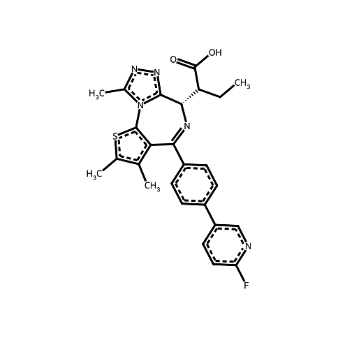 CCC(C(=O)O)[C@@H]1N=C(c2ccc(-c3ccc(F)nc3)cc2)c2c(sc(C)c2C)-n2c(C)nnc21